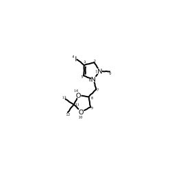 CN1CC(I)=CN1CC1COC(C)(C)O1